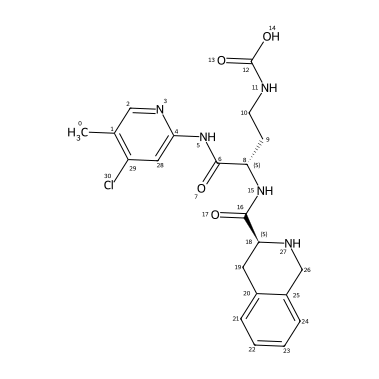 Cc1cnc(NC(=O)[C@H](CCNC(=O)O)NC(=O)[C@@H]2Cc3ccccc3CN2)cc1Cl